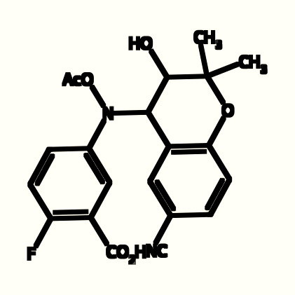 CC(=O)ON(c1ccc(F)c(C(=O)O)c1)C1c2cc(C#N)ccc2OC(C)(C)C1O